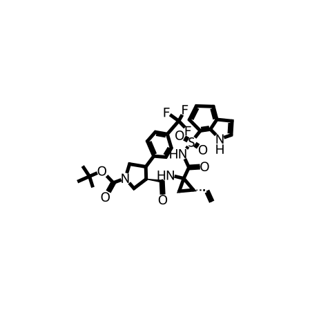 C=C[C@@H]1CC1(NC(=O)[C@H]1CN(C(=O)OC(C)(C)C)CC1c1ccc(C(F)(F)F)cc1)C(=O)NS(=O)(=O)c1cccc2cc[nH]c12